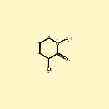 CCC1CCCN(O)C1=O